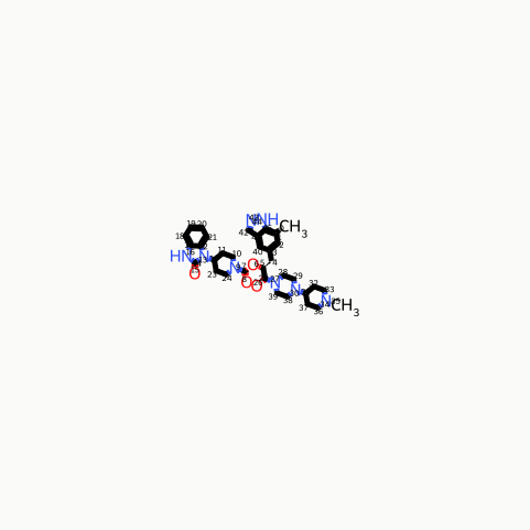 Cc1cc(C[C@@H](OC(=O)N2CCC(n3c(=O)[nH]c4ccccc43)CC2)C(=O)N2CCN(C3CCN(C)CC3)CC2)cc2cn[nH]c12